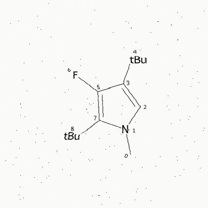 Cn1cc(C(C)(C)C)c(F)c1C(C)(C)C